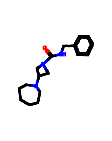 O=C(NCc1ccccc1)N1CC(N2CCCCCC2)C1